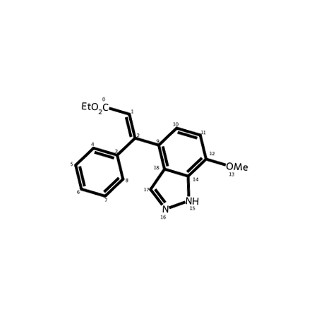 CCOC(=O)C=C(c1ccccc1)c1ccc(OC)c2[nH]ncc12